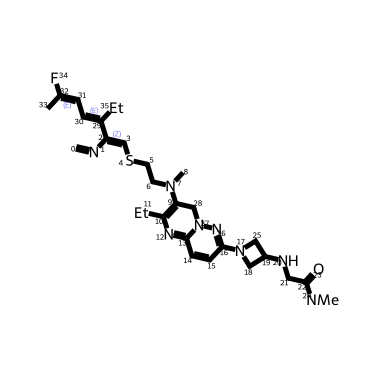 C=NC(=C\SCCN(C)C1=C(CC)N=C2C=CC(N3CC(NCC(=O)NC)C3)=NN2C1)/C(=C/C=C(\C)F)CC